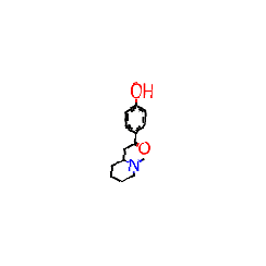 CN1CCCCC1CC(=O)c1ccc(O)cc1